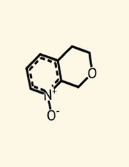 [O-][n+]1cccc2c1COCC2